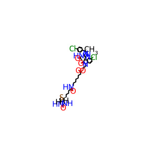 C[C@@H](c1ccc(Cl)cc1)n1nnc2c1NC(=O)C[C@]21C(=O)N(CCOC(=O)CCCCCCCNC(=O)CCCC[C@@H]2SC[C@@H]3NC(=O)N[C@@H]32)c2ccc(Cl)cc21